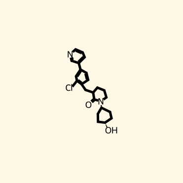 O=C1C(Cc2ccc(-c3cccnc3)cc2Cl)CCCN1[C@H]1CC[C@@H](O)CC1